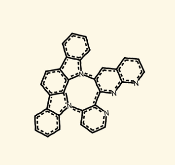 c1cnc2nc3c4ncccc4n4c5ccccc5c5ccc6c7ccccc7n(c3cc2c1)c6c54